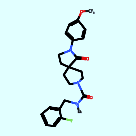 CCN(Cc1ccccc1F)C(=O)N1CCC2(CC1)CCN(c1ccc(OC(F)(F)F)cc1)C2=O